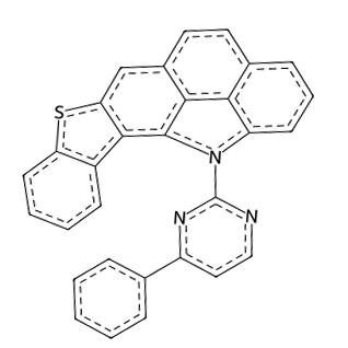 c1ccc(-c2ccnc(-n3c4cccc5ccc6cc7sc8ccccc8c7c3c6c54)n2)cc1